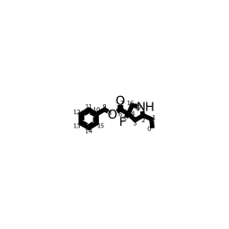 CCC1CC(F)(C(=O)OCc2ccccc2)CN1